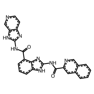 O=C(Nc1nc2c(C(=O)Nc3nc4ccncc4[nH]3)cccc2[nH]1)c1cc2ccccc2cn1